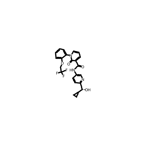 O=C(Nc1ccc([C@H](O)C2CC2)nc1)c1cccn(-c2ccccc2OCC(F)(F)F)c1=O